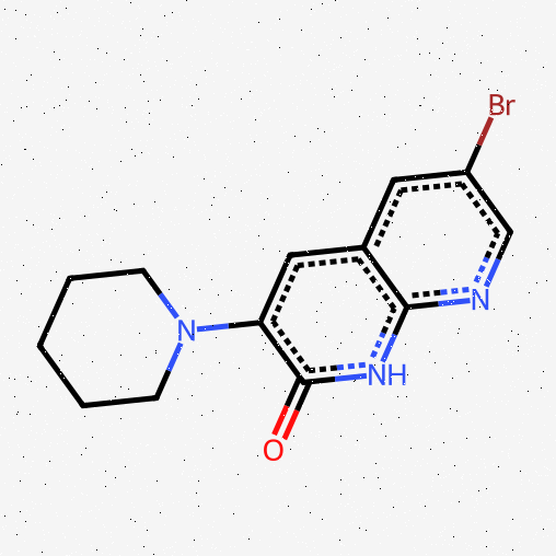 O=c1[nH]c2ncc(Br)cc2cc1N1CCCCC1